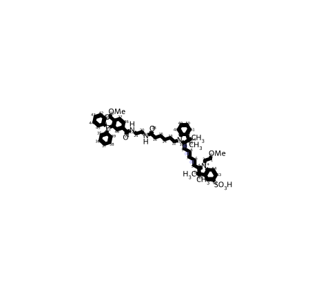 COCC[N+]1=C(/C=C/C=C/C=C2/N(CCCCCC(=O)NCCNC(=O)c3ccc(C(=O)OC)c(P(c4ccccc4)c4ccccc4)c3)c3ccccc3C2(C)C)C(C)(C)c2cc(S(=O)(=O)O)ccc21